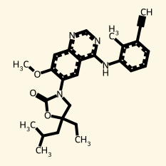 C#Cc1cccc(Nc2ncnc3cc(OC)c(N4CC(CC)(CC(C)C)OC4=O)cc23)c1C